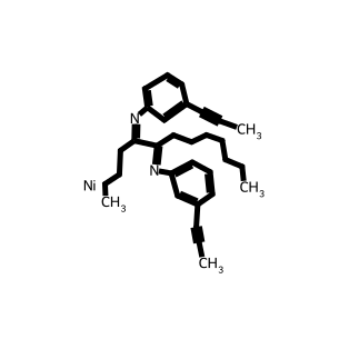 CC#Cc1cccc(N=C(CCCC)C(CCCCCCC)=Nc2cccc(C#CC)c2)c1.[Ni]